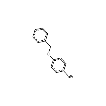 [CH2]CCc1ccc(OCc2ccccc2)cc1